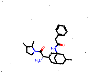 CC1CC2CC([C@H](N)C(=O)N3CCC(C)C3C)CC(NC(=O)Cc3ccccc3)(C1)C2